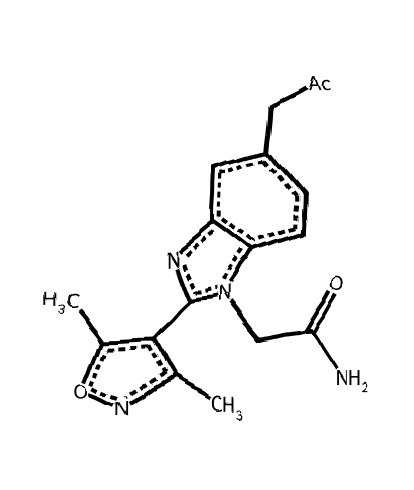 CC(=O)Cc1ccc2c(c1)nc(-c1c(C)noc1C)n2CC(N)=O